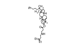 CCN(CC)CCNCCC(=O)O[C@H]1CC[C@@]2(C)C(=CCC3[C@@H]4CC[C@H]([C@H](C)CCCC(C)C)[C@@]4(C)CC[C@@H]32)C1